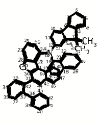 CC1(C)c2ccccc2-c2ccc(N(c3cccc4ccccc34)c3cccc4oc5c(-c6ccccc6-c6ccccc6)cc6ccccc6c5c34)cc21